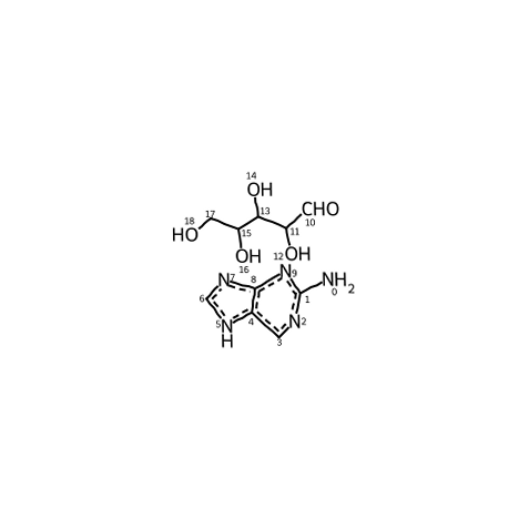 Nc1ncc2[nH]cnc2n1.O=CC(O)C(O)C(O)CO